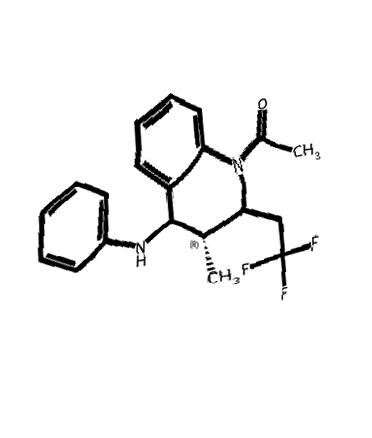 CC(=O)N1c2ccccc2C(Nc2ccccc2)[C@@H](C)C1CC(F)(F)F